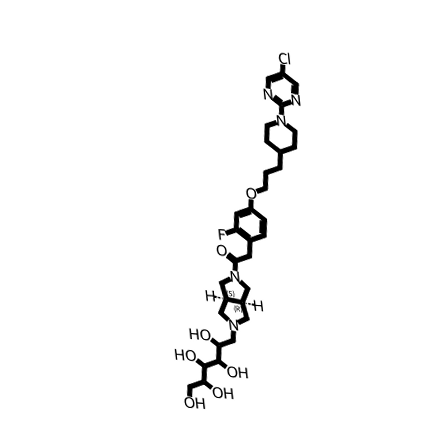 O=C(Cc1ccc(OCCCC2CCN(c3ncc(Cl)cn3)CC2)cc1F)N1C[C@H]2CN(CC(O)C(O)C(O)C(O)CO)C[C@H]2C1